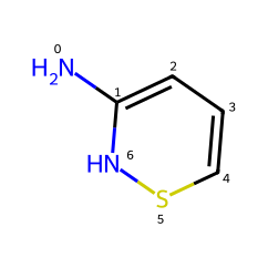 NC1=CC=CSN1